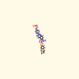 O=C(COc1ccc(OC(F)(F)F)cc1)Nc1ccc2nc(N3CCN(CCO)CC3)ncc2c1